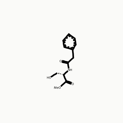 COC(=O)[C@H](CS)NC(=O)Cc1ccccc1